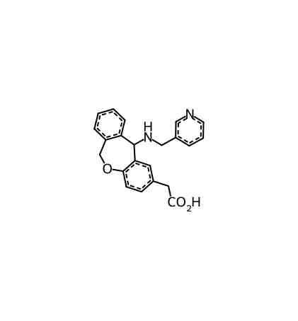 O=C(O)Cc1ccc2c(c1)C(NCc1cccnc1)c1ccccc1CO2